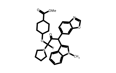 COC(=O)C1CCC(OC(F)(C(=O)C(c2ccc3ncoc3c2)c2cn(C)c3ccccc23)N2CCCC2)CC1